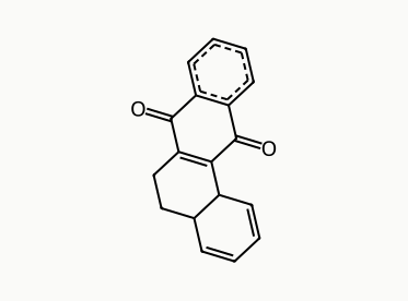 O=C1C2=C(C(=O)c3ccccc31)C1C=CC=CC1CC2